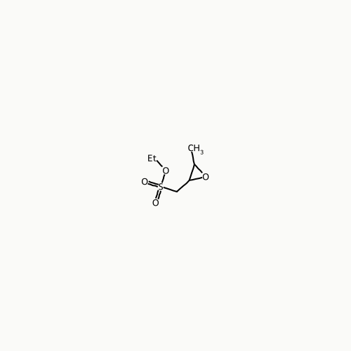 CCOS(=O)(=O)CC1OC1C